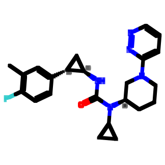 Cc1cc([C@@H]2C[C@H]2NC(=O)N(C2CC2)[C@@H]2CCCN(c3cccnn3)C2)ccc1F